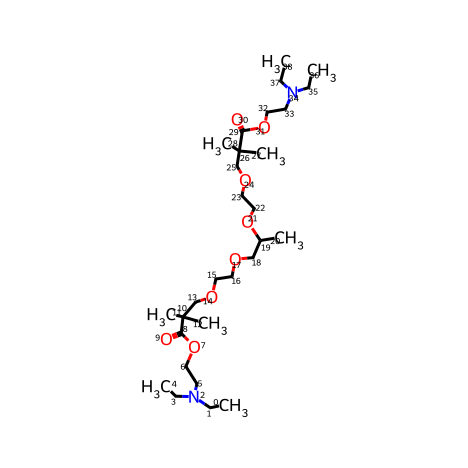 CCN(CC)CCOC(=O)C(C)(C)COCCOCC(C)OCCOCC(C)(C)C(=O)OCCN(CC)CC